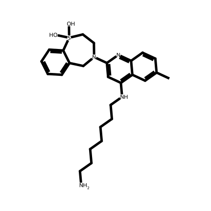 Cc1ccc2nc(N3CCS(O)(O)c4ccccc4C3)cc(NCCCCCCCN)c2c1